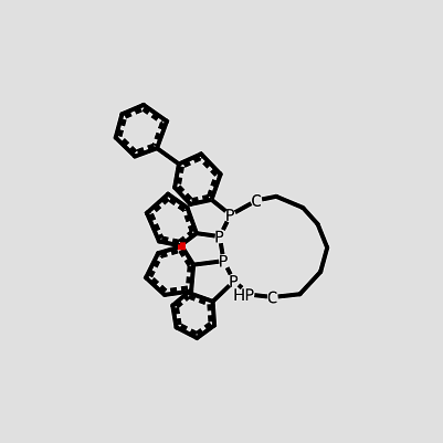 c1ccc(-c2ccc(P3CCCCCCCCPP(c4ccccc4)P(c4ccccc4)P3c3ccccc3)cc2)cc1